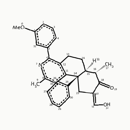 COc1cccc(-c2nc(C)nc3c2CC[C@H]2[C@H](C)C(=O)C(=CO)C[C@]32c2ccccc2)c1